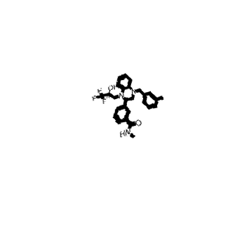 CNC(=O)c1cccc(C2CN(Cc3cccc(C)c3)c3ccccc3N2C[C@@H](O)C(F)(F)F)c1